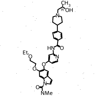 CCOCCOc1cc2c(ccn2C(=O)NC)cc1Oc1ccnc(NC(=O)c2ccc(C3CCN(C[C@@H](C)O)CC3)cc2)c1